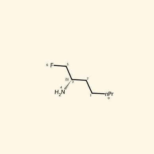 CCCCC[C@H](N)CF